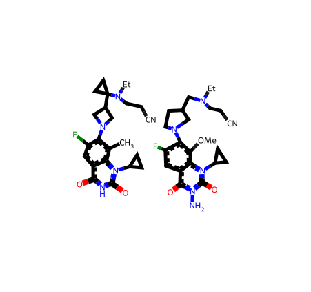 CCN(CCC#N)C1(C2CN(c3c(F)cc4c(=O)[nH]c(=O)n(C5CC5)c4c3C)C2)CC1.CCN(CCC#N)CC1CCN(c2c(F)cc3c(=O)n(N)c(=O)n(C4CC4)c3c2OC)C1